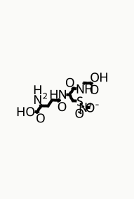 NC(CCC(=O)NC(CS[N+](=O)[O-])C(=O)NCC(=O)O)C(=O)O